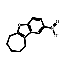 O=[N+]([O-])c1ccc2oc3c(c2c1)CCCCC3